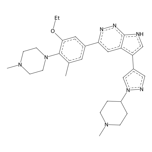 CCOc1cc(-c2cc3c(-c4cnn(C5CCN(C)CC5)c4)c[nH]c3nn2)cc(C)c1N1CCN(C)CC1